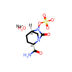 NC(=O)[C@@H]1CC[C@@H]2CN1C(=O)N2OS(=O)(=O)[O-].O.[Na+]